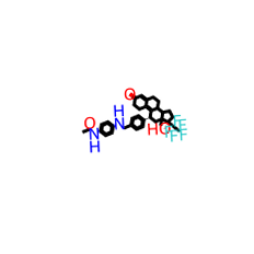 CC(=O)Nc1ccc(NCc2ccc([C@H]3CC4(C)C(CC[C@@]4(O)C(F)(F)C(F)(F)F)C4CCC5=CC(=O)CCC5=C43)cc2)cc1